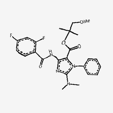 COCC(C)(C)OC(=O)c1c(NC(=O)c2ccc(F)cc2F)nc(N(C)C)n1-c1ccccc1